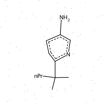 CCCC(C)(C)c1ccc(N)cn1